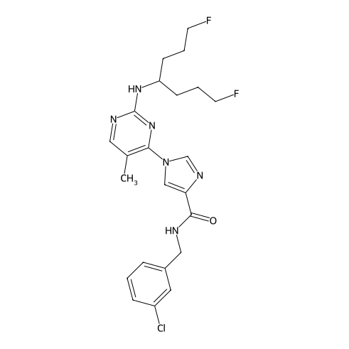 Cc1cnc(NC(CCCF)CCCF)nc1-n1cnc(C(=O)NCc2cccc(Cl)c2)c1